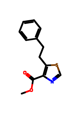 COC(=O)c1ncsc1CCc1ccccc1